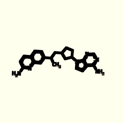 CC(CC1CCC(n2ccc3c(N)ncnc32)C1)c1ccc2ccc(N)nc2c1